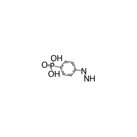 N=Nc1ccc(P(=O)(O)O)cc1